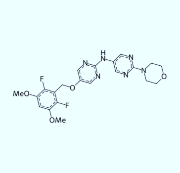 COc1cc(OC)c(F)c(COc2cnc(Nc3cnc(N4CCOCC4)nc3)nc2)c1F